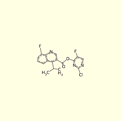 CC(C)c1c(C(=O)Oc2nc(Cl)ncc2F)cnc2c(F)cccc12